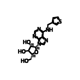 OC[C@H]1O[C@@H](n2cnc3c(NCc4ccsc4)ncnc32)[C@@H](O)C1O